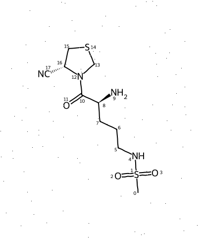 CS(=O)(=O)NCCC[C@H](N)C(=O)N1CSC[C@H]1C#N